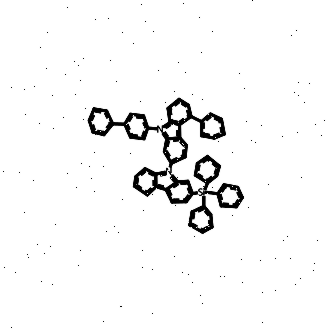 c1ccc(-c2ccc(-n3c4cc(-n5c6ccccc6c6ccc([Si](c7ccccc7)(c7ccccc7)c7ccccc7)cc65)ccc4c4c(-c5ccccc5)cccc43)cc2)cc1